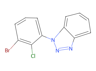 Clc1c(Br)cccc1-n1nnc2ccccc21